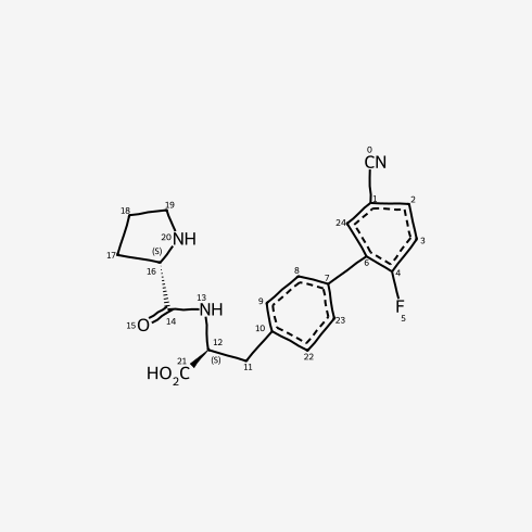 N#Cc1ccc(F)c(-c2ccc(C[C@H](NC(=O)[C@@H]3CCCN3)C(=O)O)cc2)c1